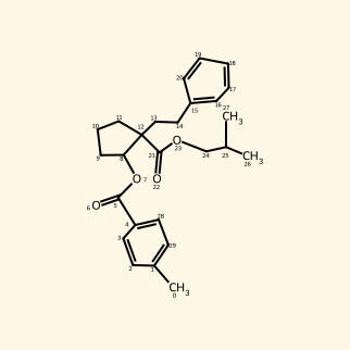 Cc1ccc(C(=O)OC2CCCC2(CCc2ccccc2)C(=O)OCC(C)C)cc1